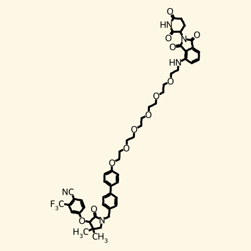 CC1(C)CN(Cc2ccc(-c3ccc(OCCOCCOCCOCCOCCOCCNc4cccc5c4C(=O)N(C4CCC(=O)NC4=O)C5=O)cc3)cc2)C(=O)C1Oc1ccc(C#N)c(C(F)(F)F)c1